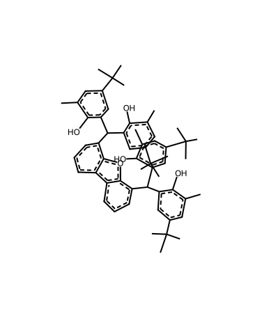 Cc1cc(C(C)(C)C)cc(C(c2cc(C(C)(C)C)cc(C)c2O)c2cccc3c2oc2c(C(c4cc(C(C)(C)C)cc(C)c4O)c4cc(C(C)(C)C)cc(C)c4O)cccc23)c1O